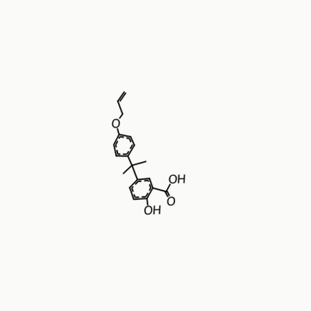 C=CCOc1ccc(C(C)(C)c2ccc(O)c(C(=O)O)c2)cc1